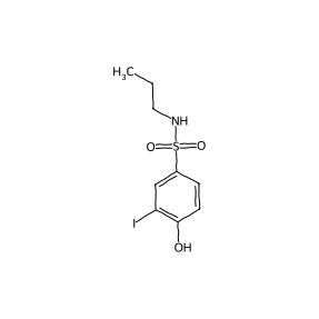 CCCNS(=O)(=O)c1ccc(O)c(I)c1